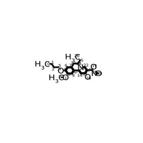 CCCCOc1cc2c(cc1OC)-c1cc(=O)c(C(=O)N=O)cn1C(CC)C2